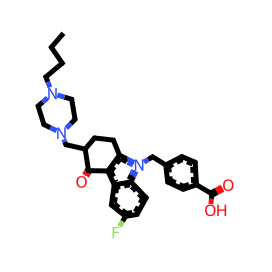 CCCCN1CCN(CC2CCc3c(c4cc(F)ccc4n3Cc3ccc(C(=O)O)cc3)C2=O)CC1